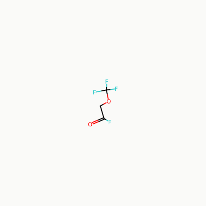 O=C(F)COC(F)(F)F